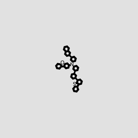 c1cc(-c2cccc(N(c3cccc(-c4ccc5ccccc5c4)c3)c3ccc4c(c3)oc3ccccc34)c2)cc(-c2cccc3c2sc2ccccc23)c1